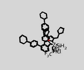 Cl.Cl.[CH3][Zr](=[SiH2])([CH2]CC(F)(F)F)([CH]1C(CC2CCCC2)=Cc2c(-c3ccc(C4CCCCC4)cc3)cccc21)[CH]1C(CC2CCCC2)=Cc2c(-c3ccc(C4CCCCC4)cc3)cccc21